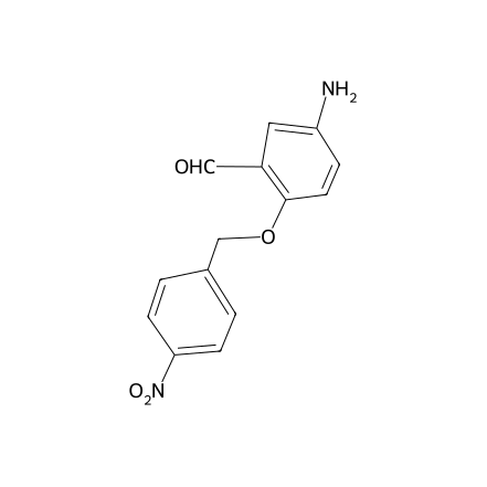 Nc1ccc(OCc2ccc([N+](=O)[O-])cc2)c(C=O)c1